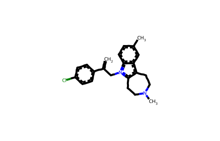 C=C(Cn1c2c(c3cc(C)ccc31)CCN(C)CC2)c1ccc(Cl)cc1